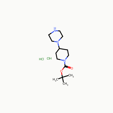 CC(C)(C)OC(=O)N1CCC(N2CCNCC2)CC1.Cl.Cl